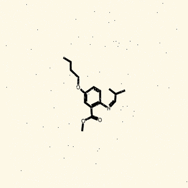 CCCCOc1ccc(/N=C\C(C)C)c(C(=O)OC)c1